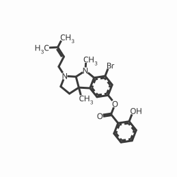 CC(C)=CCN1CCC2(C)c3cc(OC(=O)c4ccccc4O)cc(Br)c3N(C)C12